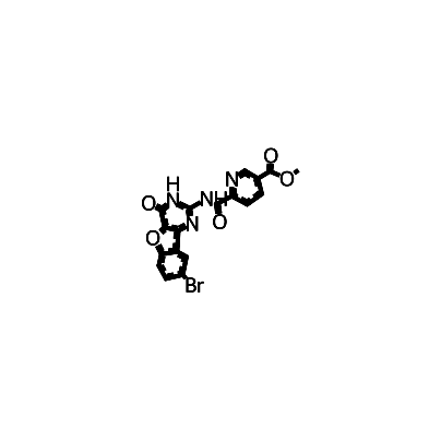 COC(=O)c1ccc(C(=O)Nc2nc3c(oc4ccc(Br)cc43)c(=O)[nH]2)nc1